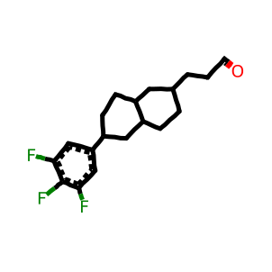 O=CCCC1CCC2CC(c3cc(F)c(F)c(F)c3)CCC2C1